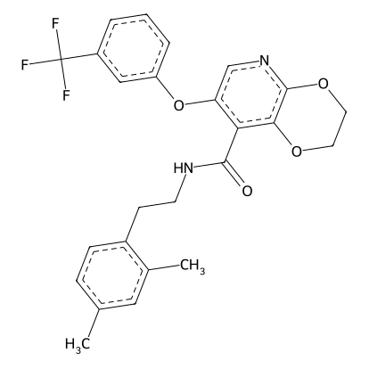 Cc1ccc(CCNC(=O)c2c(Oc3cccc(C(F)(F)F)c3)cnc3c2OCCO3)c(C)c1